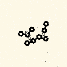 C1=CC(c2cc(-n3c4ccccc4c4ccc(C5=Cc6c(n(-c7ccc(-c8ccccc8)cc7)c7ccccc67)CC5)cc43)cc(-c3ccccc3)n2)CCC1